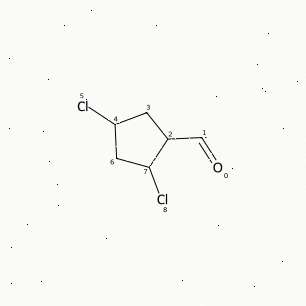 O=[C]C1CC(Cl)CC1Cl